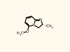 COC1=CC=CC2=N[C@H](C)CN12